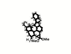 COC1(OC)C2c3ccc4c(c3-c3c(c(C)cc5cc(CC(C)C)ccc35)C21)C(C)(C)c1c-4sc2ccccc12